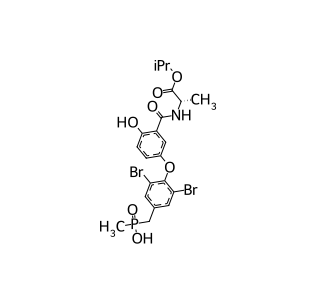 CC(C)OC(=O)[C@H](C)NC(=O)c1cc(Oc2c(Br)cc(CP(C)(=O)O)cc2Br)ccc1O